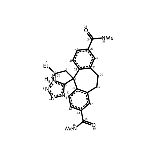 CC[C@H](N)CC1(c2nnn[nH]2)c2ccc(C(=O)NC)cc2CCc2cc(C(=O)NC)ccc21